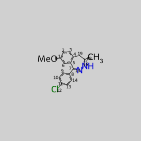 COc1ccc2c(c1)C(c1ccc(Cl)cc1)=NNC(C)C2